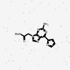 CNC(=O)Cn1cnc2c(-c3ccco3)nc(N)nc21